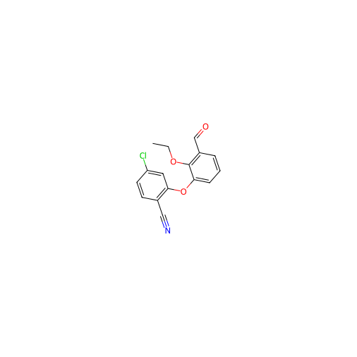 CCOc1c(C=O)cccc1Oc1cc(Cl)ccc1C#N